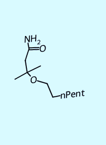 CCCCCCCOC(C)(C)CC(N)=O